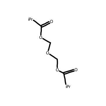 CC(C)C(=O)OCOCOC(=O)C(C)C